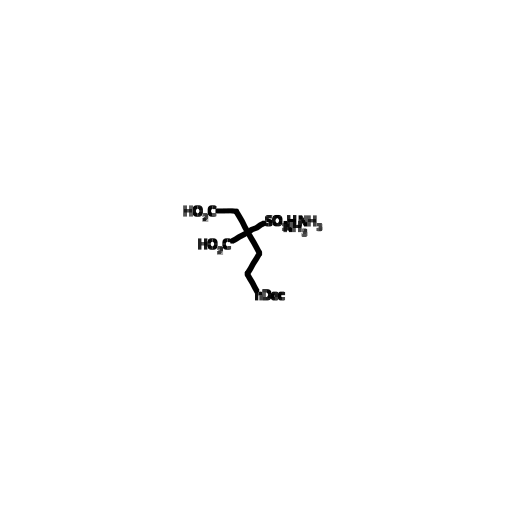 CCCCCCCCCCCCC(CC(=O)O)(C(=O)O)S(=O)(=O)O.N.N